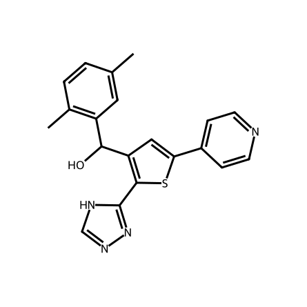 Cc1ccc(C)c(C(O)c2cc(-c3ccncc3)sc2-c2nnc[nH]2)c1